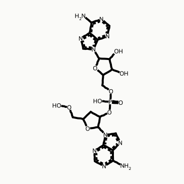 Nc1ncnc2c1ncn2C1OC(COO)CC1OP(=O)(O)OCC1OC(n2cnc3c(N)ncnc32)C(O)C1O